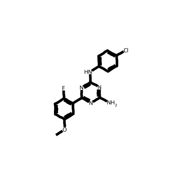 COc1ccc(F)c(-c2nc(N)nc(Nc3ccc(Cl)cc3)n2)c1